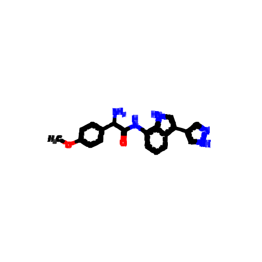 COc1ccc(C(N)C(=O)Nc2cccc3c(-c4cn[nH]c4)c[nH]c23)cc1